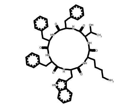 CC(O)C1NC(=O)C(CCCCN)NC(=O)C(Cc2c[nH]c3ccccc23)NC(=O)C(Cc2ccccc2)NC(=O)C(Cc2ccccc2)NC(=O)C(Cc2ccccc2)NC1=O